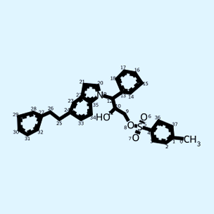 Cc1ccc(S(=O)(=O)OCC(O)C(c2ccccc2)n2ccc3cc(CCc4ccccc4)ccc32)cc1